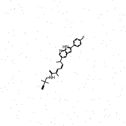 C#CC(C)(C)CNC(=C)/C(C)=C/C=C\C(C)c1cnc2[nH]c(-c3ccc(F)cc3)cc2c1